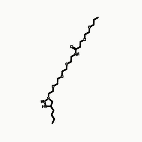 CCCCC1CN(CCOCCOCCOCCNC(=O)CCOCCOCCC)NN1